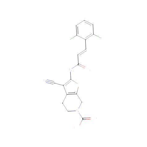 N#Cc1c(NC(=O)C=Cc2c(F)cccc2F)sc2c1CCN(C(=O)O)C2